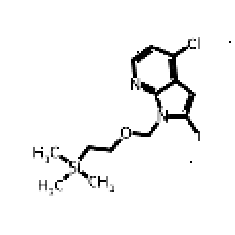 C[Si](C)(C)CCOCn1c(I)cc2c(Cl)ccnc21